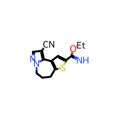 CCOC(=N)c1cc2c(s1)CCCn1ncc(C#N)c1-2